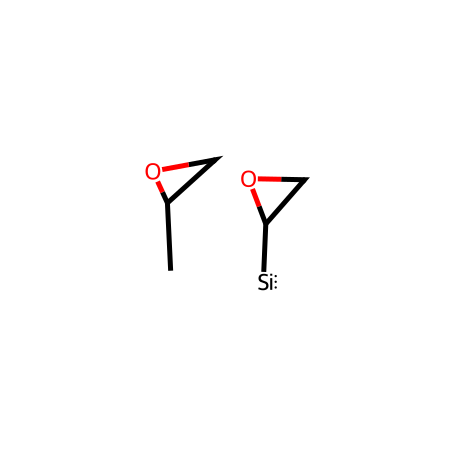 CC1CO1.[Si]C1CO1